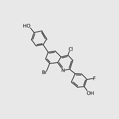 Oc1ccc(-c2cc(Br)c3nc(-c4ccc(O)c(F)c4)cc(Cl)c3c2)cc1